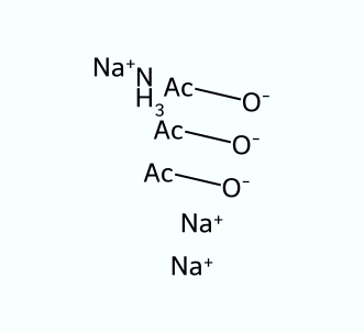 CC(=O)[O-].CC(=O)[O-].CC(=O)[O-].N.[Na+].[Na+].[Na+]